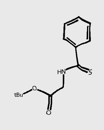 CC(C)(C)OC(=O)CNC(=S)c1ccccc1